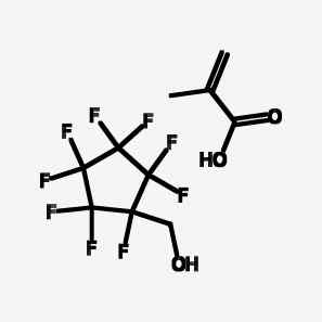 C=C(C)C(=O)O.OCC1(F)C(F)(F)C(F)(F)C(F)(F)C1(F)F